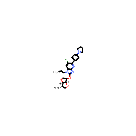 C=CCn1c(O[C@@H]2CO[C@H]3[C@@H]2OC[C@H]3OC)nc2nc(-c3ccc(N4CCCC4)cc3)c(Cl)cc21